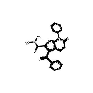 CN(C)C(=O)c1sc2c(ccc(=O)n2-c2ccccc2)c1C(=O)c1ccccc1